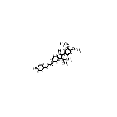 COc1ccc(-c2[nH]c3ccc(OCCC4CCNCC4)cc3c2C(C)C)cc1OC